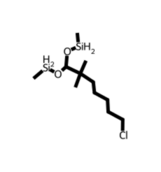 C[SiH2]OC(O[SiH2]C)C(C)(C)CCCCCCl